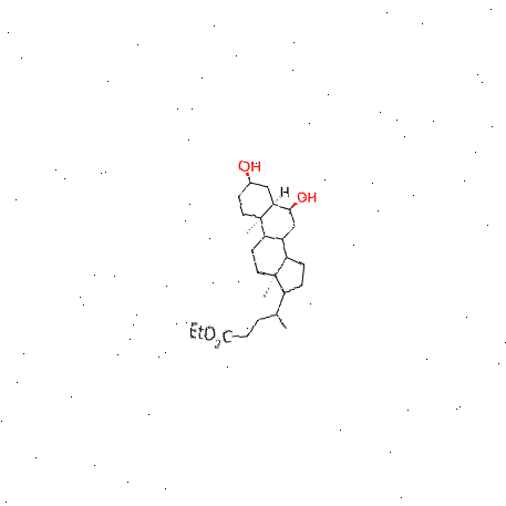 CCOC(=O)CCC(C)C1CCC2C3C[C@H](O)[C@@H]4C[C@H](O)CC[C@]4(C)C3CC[C@]12C